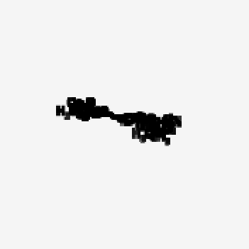 CN1C(=O)CCC(N2C(=O)c3ccc(OCCCCCN4CCC(n5ccc(C(=O)N[C@H]6C(C)(C)[C@H](Oc7ccc(C#N)c(Cl)c7)C6(C)C)n5)CC4)cc3C2=O)C1=O